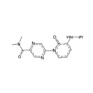 CC(C)Nc1cccn(-c2cnc(C(=O)N(C)C)cn2)c1=O